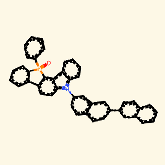 O=P1(c2ccccc2)c2ccccc2-c2ccc3c(c21)c1ccccc1n3-c1ccc2ccc(-c3ccc4ccccc4c3)cc2c1